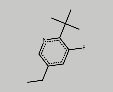 CCc1cnc(C(C)(C)C)c(F)c1